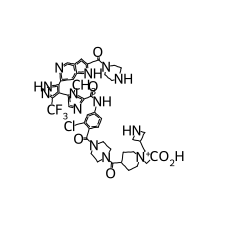 Cn1c(-c2c(C(F)(F)F)n[nH]c2-c2cc3[nH]c(C(=O)N4CCNCC4)cc3cn2)cnc1C(=O)Nc1ccc(C(=O)N2CCN(C(=O)C3CC[N+](CC(=O)O)(CC4CNC4)CC3)CC2)c(Cl)c1